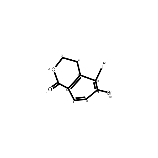 O=C1OCCc2c1ccc(Br)c2I